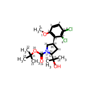 COc1ccc(Cl)c(Cl)c1[C@H]1C[C@@H](C(C)(C)O)N(C(=O)OC(C)(C)C)C1